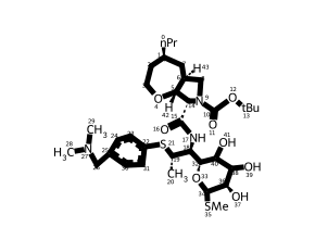 CCC[C@@H]1CCO[C@@H]2[C@@H](C1)CN(C(=O)OC(C)(C)C)[C@@H]2C(=O)N[C@H]([C@H](C)Sc1ccc(CN(C)C)cc1)[C@H]1OC(SC)[C@H](O)C(O)C1O